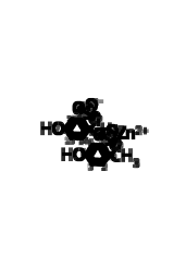 Cc1ccc(O)cc1S(=O)(=O)[O-].Cc1ccc(O)cc1S(=O)(=O)[O-].[Zn+2]